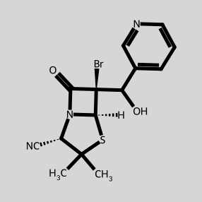 CC1(C)S[C@H]2N(C(=O)[C@]2(Br)C(O)c2cccnc2)[C@H]1C#N